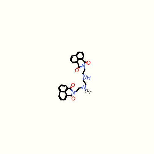 CC(C)N(CCNCCN1C(=O)c2cccc3cccc(c23)C1=O)CCN1C(=O)c2cccc3cccc(c23)C1=O